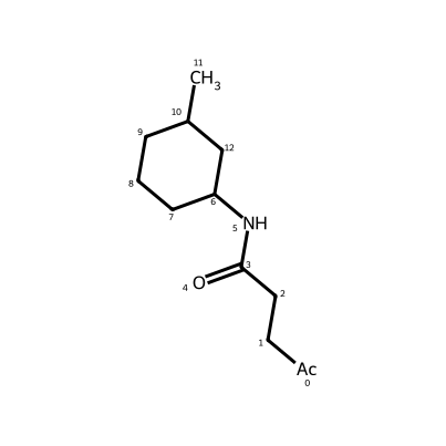 CC(=O)CCC(=O)NC1CCCC(C)C1